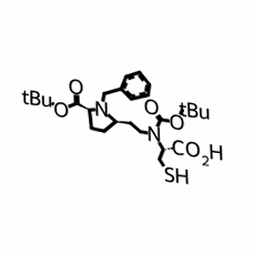 CC(C)(C)OC(=O)[C@@H]1CC[C@H](CCN(C(=O)OC(C)(C)C)[C@@H](CS)C(=O)O)N1Cc1ccccc1